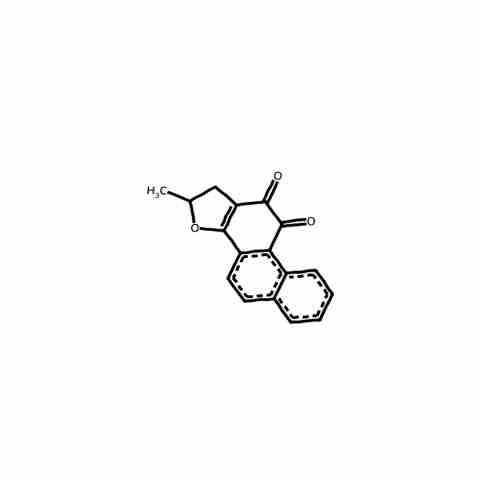 CC1CC2=C(O1)c1ccc3ccccc3c1C(=O)C2=O